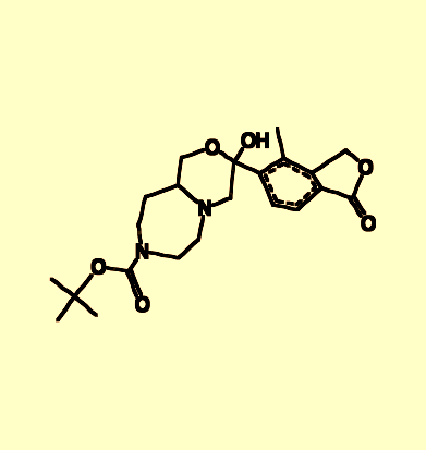 Cc1c(C2(O)CN3CCN(C(=O)OC(C)(C)C)CCC3CO2)ccc2c1COC2=O